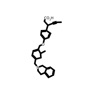 CC#CC(CC(=O)O)c1ccc(OCC2=CC=C(CN3CCc4ccccc4C3)CC2C)cc1